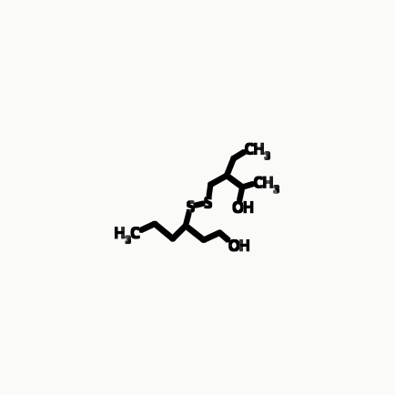 CCCC(CCO)SSCC(CC)C(C)O